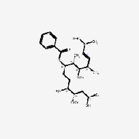 CC[C@@H](O)C[C@H](OC)[C@@H](N)CC[C@@H](OC(=O)c1ccccc1)[C@H](C)[C@H](OC)[C@H](C)/C=C/N(C)C=O